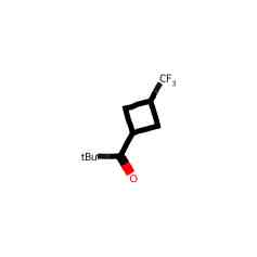 CC(C)(C)C(=O)C1CC(C(F)(F)F)C1